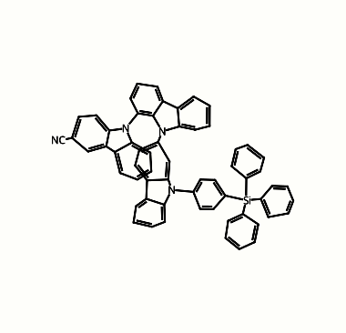 N#Cc1ccc2c(c1)c1ccccc1n2-c1cccc2c3ccccc3n(-c3ccc4c5ccccc5n(-c5ccc([Si](c6ccccc6)(c6ccccc6)c6ccccc6)cc5)c4c3)c12